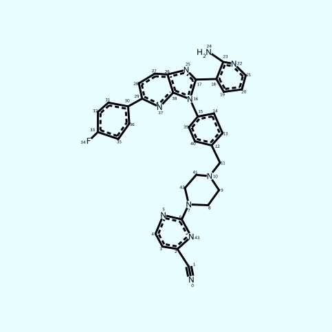 N#Cc1ccnc(N2CCN(Cc3ccc(-n4c(-c5cccnc5N)nc5ccc(-c6ccc(F)cc6)nc54)cc3)CC2)n1